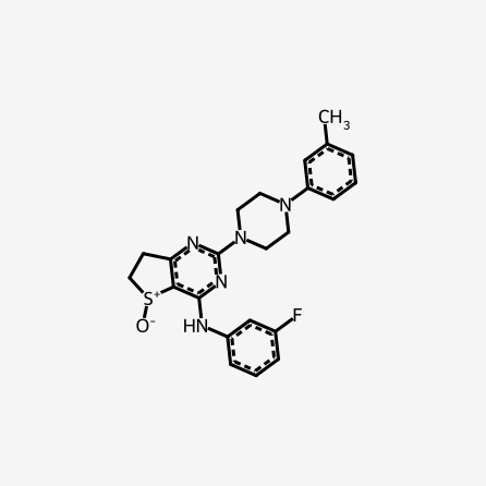 Cc1cccc(N2CCN(c3nc4c(c(Nc5cccc(F)c5)n3)[S+]([O-])CC4)CC2)c1